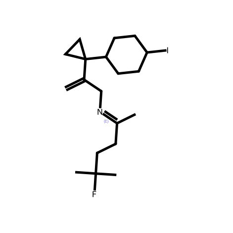 C=C(C/N=C(\C)CCC(C)(C)F)C1(C2CCC(I)CC2)CC1